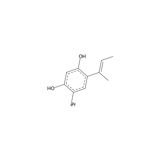 CC=C(C)c1cc(C(C)C)c(O)cc1O